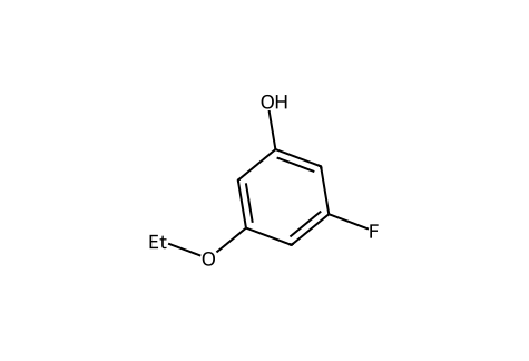 CCOc1cc(O)cc(F)c1